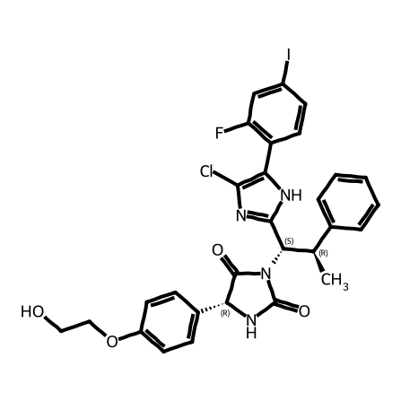 C[C@H](c1ccccc1)[C@@H](c1nc(Cl)c(-c2ccc(I)cc2F)[nH]1)N1C(=O)N[C@H](c2ccc(OCCO)cc2)C1=O